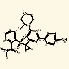 C[C@H]1COCCN1c1cc(C2(S(=O)(=O)c3cccnc3C(=O)N(C)C)CC2)nc(-c2ccc(N)cc2)n1